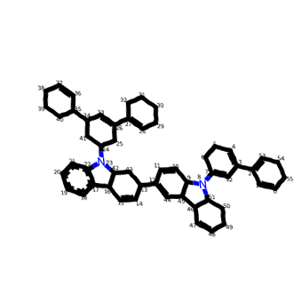 C1=CC(C2=CCCC(N3C4C=CC(C5C=CC6c7ccccc7N(C7CC(C8=CCCCC8)=CC(C8C=CCCC8)C7)C6C5)=CC4C4C=CCCC43)=C2)=CCC1